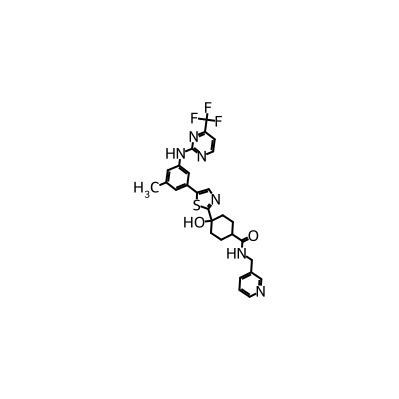 Cc1cc(Nc2nccc(C(F)(F)F)n2)cc(-c2cnc(C3(O)CCC(C(=O)NCc4cccnc4)CC3)s2)c1